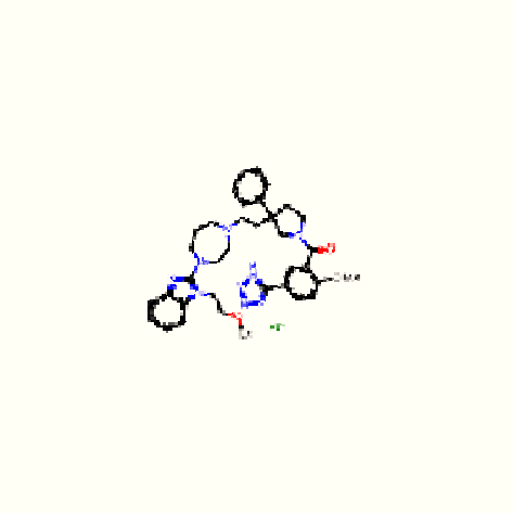 CCOCCn1c(N2CCCN(CCC3(c4ccccc4)CCN(C(=O)c4cc(-c5nnn[nH]5)ccc4OC)C3)CC2)nc2ccccc21.Cl